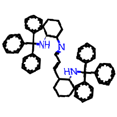 C(=C\C1CCCC[C@H]1NC(c1ccccc1)(c1ccccc1)c1ccccc1)/C=N/C1CCCC[C@H]1NC(c1ccccc1)(c1ccccc1)c1ccccc1